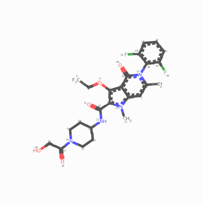 CCc1cc2c(c(OCC(F)(F)F)c(C(=O)NC3CCN(C(=O)CO)CC3)n2C)c(=O)n1-c1c(F)cccc1F